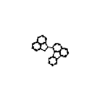 c1ccc2c(c1)-c1cccc3ccc(C4Cc5cccc6cccc4c56)c-2c13